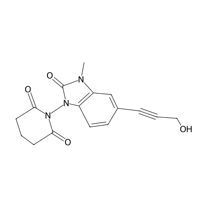 Cn1c(=O)n(N2C(=O)CCCC2=O)c2ccc(C#CCO)cc21